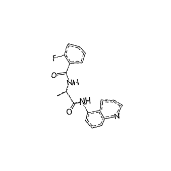 CC(NC(=O)c1ccccc1F)C(=O)Nc1cccc2ncccc12